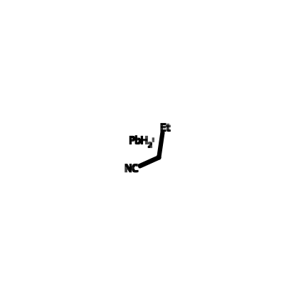 CCCC#N.[PbH2]